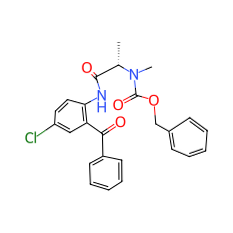 C[C@@H](C(=O)Nc1ccc(Cl)cc1C(=O)c1ccccc1)N(C)C(=O)OCc1ccccc1